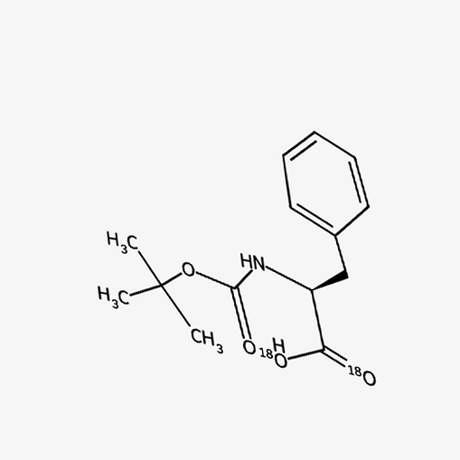 CC(C)(C)OC(=O)N[C@@H](Cc1ccccc1)C(=[18O])[18OH]